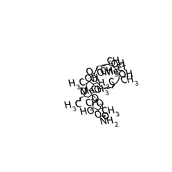 C/C=C/[C@H]1O[C@@H]([C@@H](C)[C@H](O)[C@H](C)[C@H]2OC(=O)/C(OC)=C/C(C)=C/[C@@H](C)[C@@H](O)[C@@H](CC)[C@@H](O)[C@H](C)C/C(C)=C/C=C/[C@@H]2OC)C[C@@H](O[C@@H]2C[C@H](O)[C@@H](OC(N)=O)[C@H](C)O2)[C@@H]1C